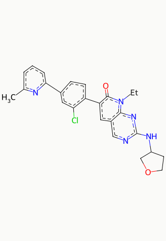 CCn1c(=O)c(-c2ccc(-c3cccc(C)n3)cc2Cl)cc2cnc(NC3CCOC3)nc21